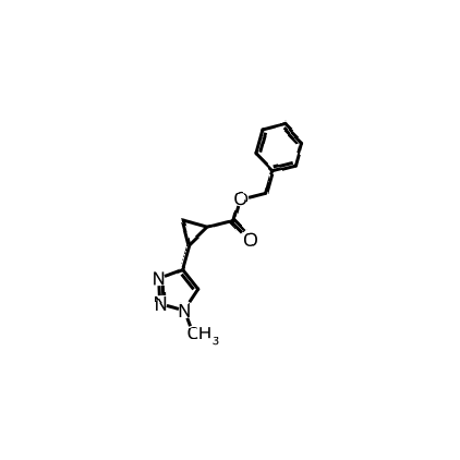 Cn1cc(C2CC2C(=O)OCc2ccccc2)nn1